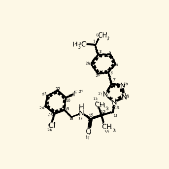 CC(C)c1ccc(-c2nnn(CC(C)(C)C(=O)NCc3c(F)cccc3Cl)n2)cc1